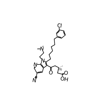 C[C@H](CC(=O)O)CC(=O)c1c(CCCCCCc2cccc(Cl)c2)n(CCN(C)C)c2ncc(C#N)cc12